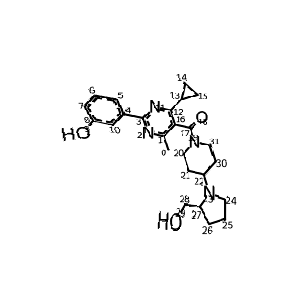 Cc1nc(-c2cccc(O)c2)nc(C2CC2)c1C(=O)N1CCC(N2CCC[C@H]2CO)CC1